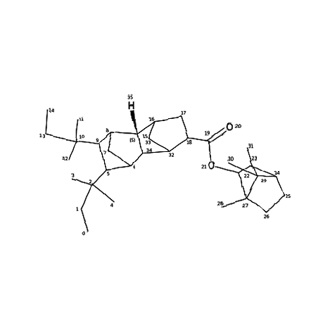 CCC(C)(C)C1C2CC(C1C(C)(C)CC)[C@@H]1C3CC(C(=O)OC4CC5CCC4(C)C5(C)C)C(C3)C21